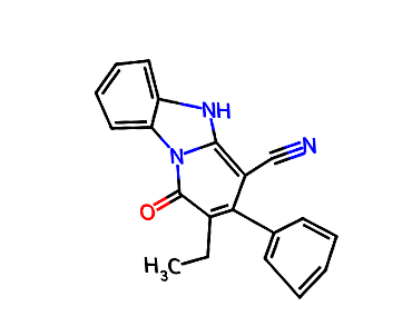 CCc1c(-c2ccccc2)c(C#N)c2[nH]c3ccccc3n2c1=O